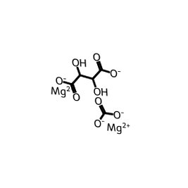 O=C([O-])C(O)C(O)C(=O)[O-].O=C([O-])[O-].[Mg+2].[Mg+2]